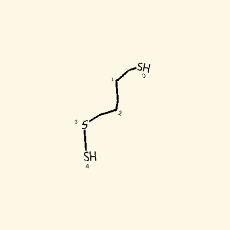 SCCSS